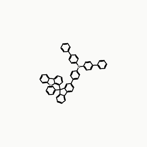 c1ccc(-c2ccc(N(c3ccc(-c4ccccc4)cc3)c3ccc(-c4ccc5c(c4)C(c4ccccc4)(c4cccc6c4oc4ccccc46)c4ccccc4-5)cc3)cc2)cc1